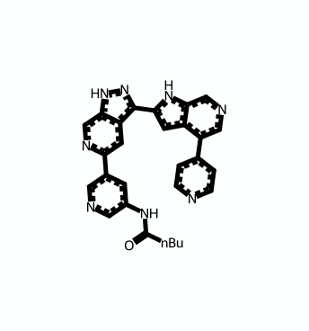 CCCCC(=O)Nc1cncc(-c2cc3c(-c4cc5c(-c6ccncc6)cncc5[nH]4)n[nH]c3cn2)c1